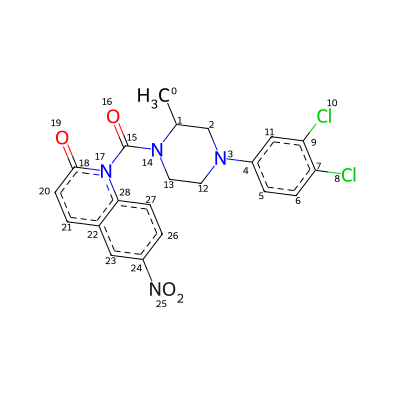 CC1CN(c2ccc(Cl)c(Cl)c2)CCN1C(=O)n1c(=O)ccc2cc([N+](=O)[O-])ccc21